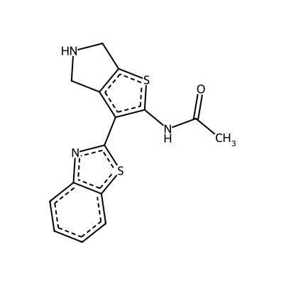 CC(=O)Nc1sc2c(c1-c1nc3ccccc3s1)CNC2